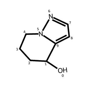 OC1CCCn2nccc21